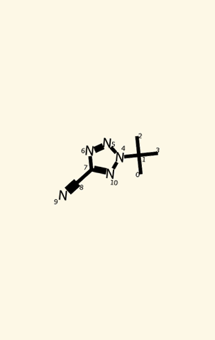 CC(C)(C)n1nnc(C#N)n1